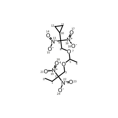 CCC(COC(C)OCC(C1CC1)([N+](=O)[O-])[N+](=O)[O-])([N+](=O)[O-])[N+](=O)[O-]